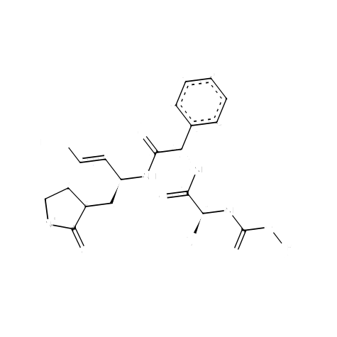 CCOC(=O)/C=C/[C@H](CC1CCNC1=O)NC(=O)[C@@H](NC(=O)[C@@H](NC(=O)OC(C)(C)C)C(C)C)c1ccccc1